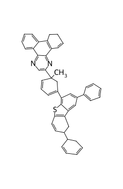 CC1(c2cnc3c(n2)c2c(c4ccccc43)CCC=C2)C=CC=C(c2cc(-c3ccccc3)cc3c4c(sc23)C=CC(C2C=CC=CC2)C4)C1